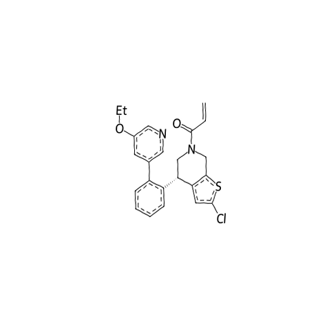 C=CC(=O)N1Cc2sc(Cl)cc2[C@H](c2ccccc2-c2cncc(OCC)c2)C1